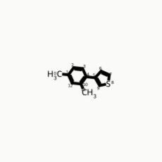 Cc1ccc(-c2c[c]sc2)c(C)c1